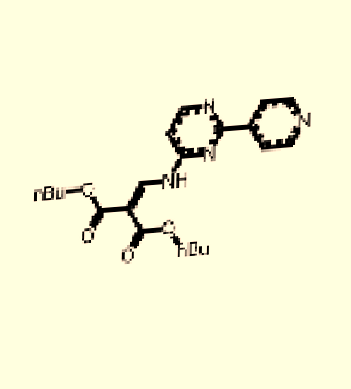 CCCCOC(=O)C(=CNc1ccnc(-c2ccncc2)n1)C(=O)OCCCC